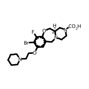 O=C(O)N1CCN2Cc3cc(OCCN4CCCCC4)c(Br)c(F)c3OC[C@H]2C1